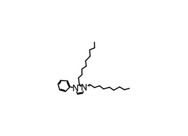 CCCCCCCCCc1n(-c2ccccc2)cc[n+]1CCCCCCCCC